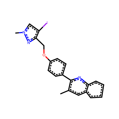 Cc1cc2ccccc2nc1-c1ccc(OCc2nn(C)cc2I)cc1